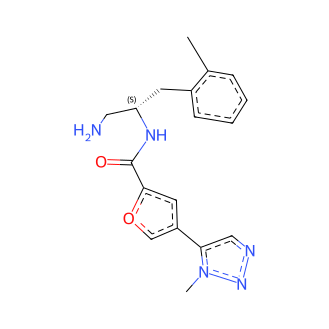 Cc1ccccc1C[C@@H](CN)NC(=O)c1cc(-c2cnnn2C)co1